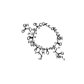 CCC(C)[C@@H]1NC(=O)N[C@@H](CCC(N)=O)C(=O)NCCOCCOCC(=O)N[C@@H](CCC(=O)O)C(=O)NNC1=O